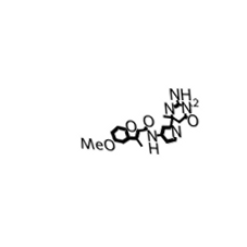 COc1ccc2oc(C(=O)Nc3ccnc(C4(C)CC(=O)N(C)C(N)=N4)c3)c(C)c2c1